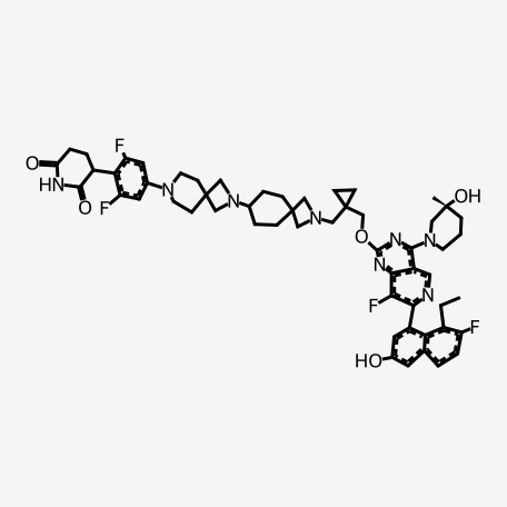 CCc1c(F)ccc2cc(O)cc(-c3ncc4c(N5CCC[C@@](C)(O)C5)nc(OCC5(CN6CC7(CCC(N8CC9(CCN(c%10cc(F)c(C%11CCC(=O)NC%11=O)c(F)c%10)CC9)C8)CC7)C6)CC5)nc4c3F)c12